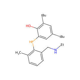 CCNCc1cccc(C)c1Pc1cc(C(C)(C)C)cc(C(C)(C)C)c1O